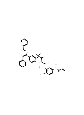 C=CC(=O)Nc1ccc(Cl)c(NC(=O)C(Oc2ccc(-c3nc(-c4ccccn4)nnc3-c3ccccc3)cc2)C(=O)C(C)(C)C)c1